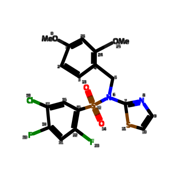 COc1ccc(CN(c2nccs2)S(=O)(=O)c2cc(Cl)c(F)cc2F)c(OC)c1